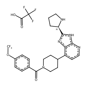 O=C(O)C(F)(F)F.O=C(c1ccc(OC(F)(F)F)cc1)N1CCC(c2ccnc3[nH]c([C@H]4CCCN4)nc23)CC1